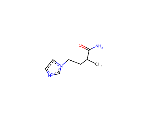 CC(CCn1c[c]nc1)C(N)=O